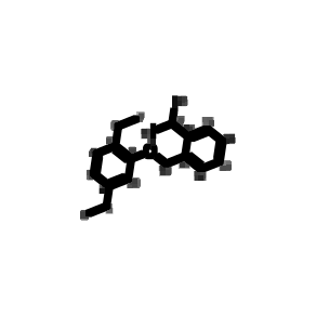 CCc1ccc(CC)c(OCc2ccccc2C(I)I)c1